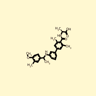 COc1ccc(C(C)Nc2cccc(-c3cc(C)c(C(=O)N[C@@H](C)C(=O)O)c(C)c3)c2)cc1C